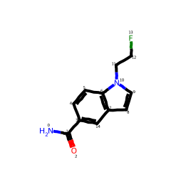 NC(=O)c1ccc2c(ccn2CCF)c1